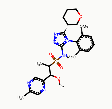 COc1cccc(OC)c1-n1c(NS(=O)(=O)C(C)C(OC(C)C)c2cnc(C)cn2)nnc1[C@@H]1CCCOC1